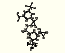 CC(C)c1cc(C(C)(C)C)cc(C2(C)CC2CC(C)c2cc(C(F)(F)F)cc(C3(C)CC3)c2)c1